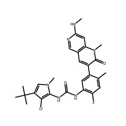 CNc1cc2c(cn1)cc(-c1cc(NC(=O)Nc3c(Cl)c(C(C)(C)C)cn3C)c(F)cc1C)c(=O)n2C